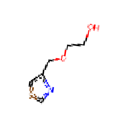 OCCOCc1cscn1